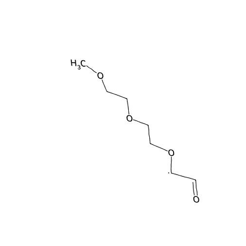 COCCOCCO[CH]C=O